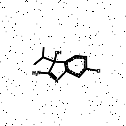 CC(C)C1(O)C(N)=Nc2cc(Cl)ccc21